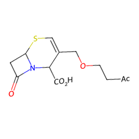 CC(=O)CCOCC1=CSC2CC(=O)N2C1C(=O)O